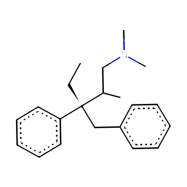 CC[C@@](Cc1ccccc1)(c1ccccc1)C(C)CN(C)C